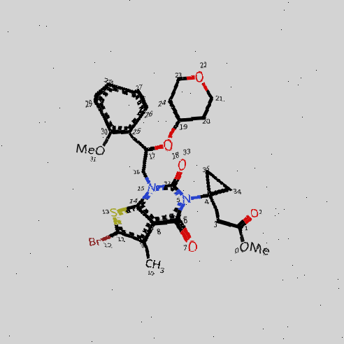 COC(=O)CC1(n2c(=O)c3c(C)c(Br)sc3n(CC(OC3CCOCC3)c3ccccc3OC)c2=O)CC1